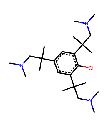 CN(C)CC(C)(C)c1cc(C(C)(C)CN(C)C)c(O)c(C(C)(C)CN(C)C)c1